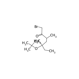 CCC(C)(CC(C)C(=O)CBr)OC(C)(C)C